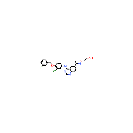 C/C(=N\OCCO)c1ccc2ncnc(Nc3ccc(OCc4cccc(F)c4)c(Cl)c3)c2c1